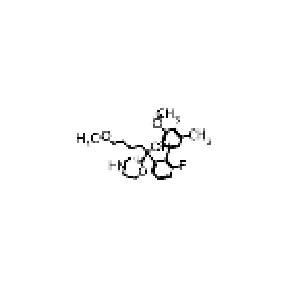 COCCCC[C@@](O)(c1cccc(F)c1-c1cc(C)cc(OC)c1)[C@H]1CNCCO1